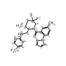 Cc1ccc(-n2nccn2)c(C(=O)N2CC(F)(F)C[C@@H](C)C2CNc2ncc(C(F)(F)F)cn2)c1